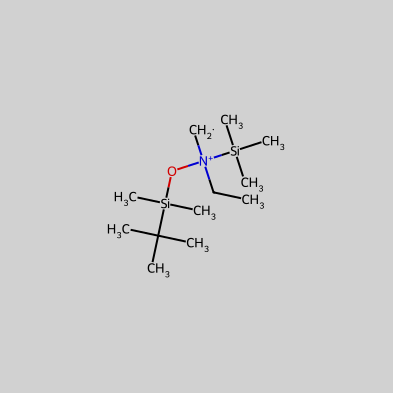 [CH2][N+](CC)(O[Si](C)(C)C(C)(C)C)[Si](C)(C)C